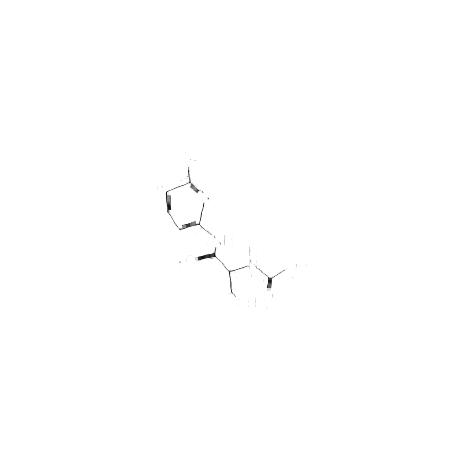 CCC(NC(=O)O)C(=O)Nc1cccc(Br)n1